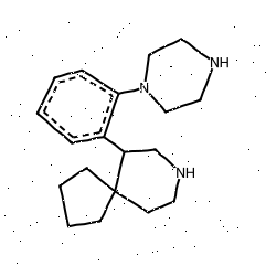 c1ccc(N2CCNCC2)c(C2CNCCC23CCCC3)c1